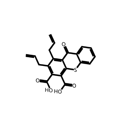 C=CCc1c(C(=O)O)c(C(=O)O)c2sc3ccccc3c(=O)c2c1CC=C